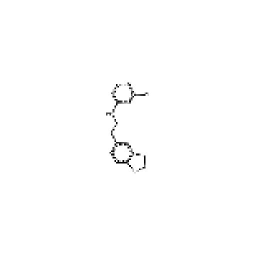 Clc1cc(NCCc2ccc3c(c2)CCO3)ncn1